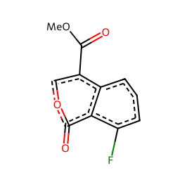 COC(=O)c1coc(=O)c2c(F)cccc12